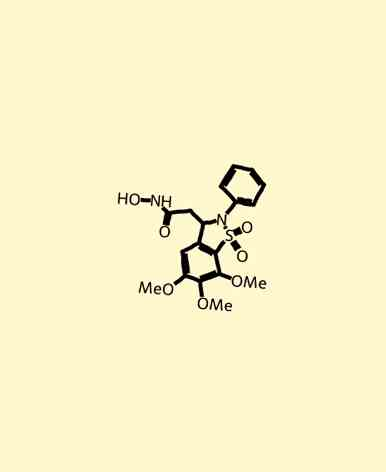 COc1cc2c(c(OC)c1OC)S(=O)(=O)N(c1ccccc1)C2CC(=O)NO